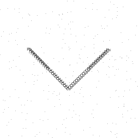 [Cu].[Cu].[Cu].[Cu].[Cu].[Cu].[Cu].[Cu].[Cu].[Cu].[Cu].[Cu].[Cu].[Cu].[Cu].[Cu].[Cu].[Cu].[Cu].[Cu].[Cu].[Cu].[Cu].[Pb].[Pb].[Pb].[Pb].[Pb].[Pb].[Pb].[Pb].[Pb].[Pb].[Pb].[Pb].[Pb].[Pb].[Pb].[Pb].[Pb].[Pb].[Pb].[Pb].[Pb].[Pb].[Pb].[Pb]